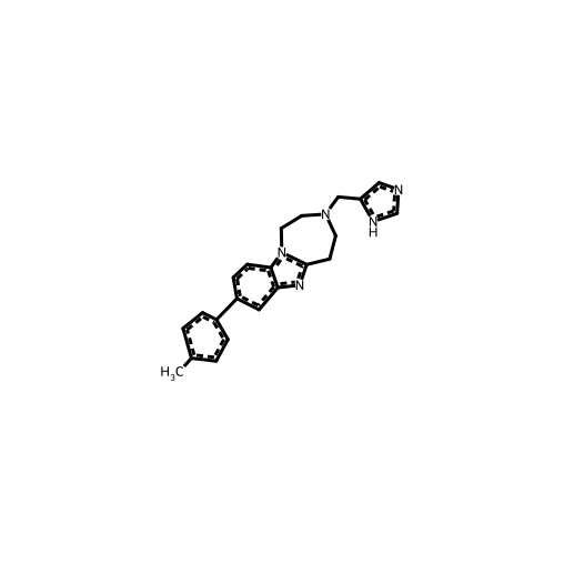 Cc1ccc(-c2ccc3c(c2)nc2n3CCN(Cc3cnc[nH]3)CC2)cc1